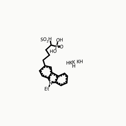 CCn1c2ccccc2c2cc(CCCC(P(=O)(O)O)S(=O)(=O)O)ccc21.[KH].[KH].[KH]